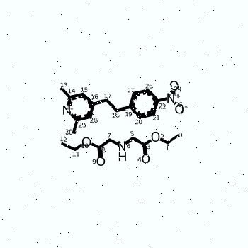 CCOC(=O)CNCC(=O)OCC.Cc1cc(CCc2ccc([N+](=O)[O-])cc2)cc(C)n1